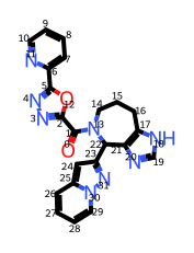 O=C(c1nnc(-c2ccccn2)o1)N1CCCc2[nH]cnc2C1c1cc2ccccn2n1